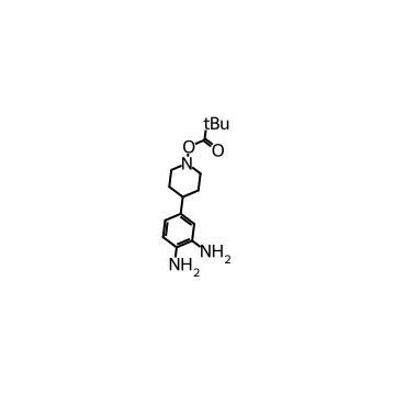 CC(C)(C)C(=O)ON1CCC(c2ccc(N)c(N)c2)CC1